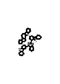 c1ccc2c(c1)ccc1c2ccc2c3ccccc3n(-c3cc(-c4nc(-c5ccc6sc7ccccc7c6c5)c5ccccc5n4)c4sc5ccccc5c4c3)c12